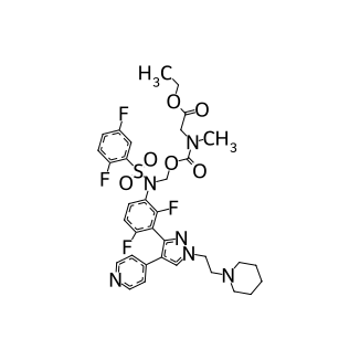 CCOC(=O)CN(C)C(=O)OCN(c1ccc(F)c(-c2nn(CCN3CCCCC3)cc2-c2ccncc2)c1F)S(=O)(=O)c1cc(F)ccc1F